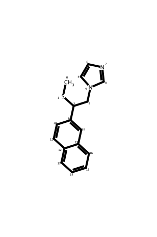 CSC(Cn1ccnc1)c1ccc2ccccc2c1